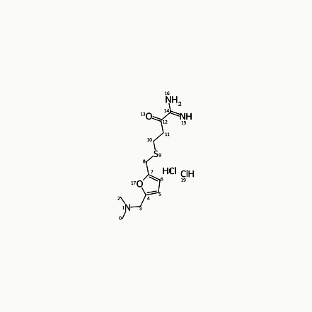 CN(C)Cc1ccc(CSCCC(=O)C(=N)N)o1.Cl.Cl